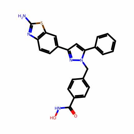 Nc1nc2ccc(-c3cc(-c4ccccc4)n(Cc4ccc(C(=O)NO)cc4)n3)cc2s1